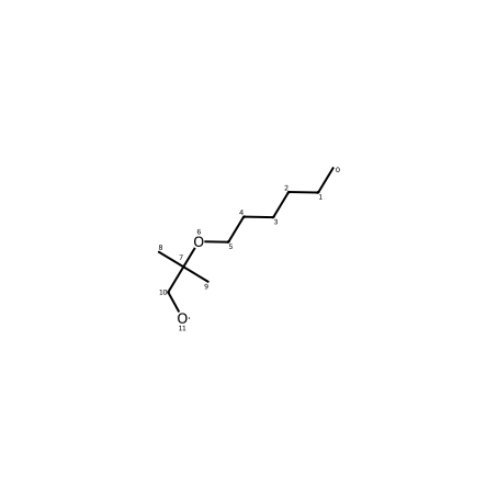 CCCCCCOC(C)(C)C[O]